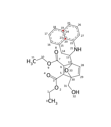 CCOC(=O)C1=C(C(=O)OCC)C2(C(Cc3ccccc3)Nc3ccccc3)C=CC1(CO)O2